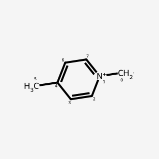 [CH2][n+]1ccc(C)cc1